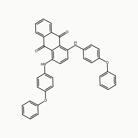 O=C1c2ccccc2C(=O)c2c(Nc3ccc(Oc4ccccc4)cc3)ccc(Nc3ccc(Oc4ccccc4)cc3)c21